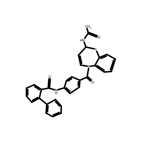 CC(=O)NC1C=CN(C(=O)c2ccc(NC(=O)c3ccccc3-c3ccccc3)cc2)c2ccccc2S1